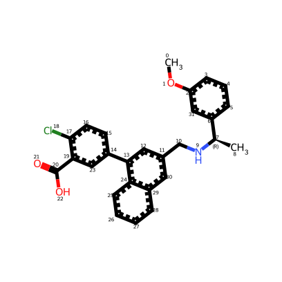 COc1cccc([C@@H](C)NCc2cc(-c3ccc(Cl)c(C(=O)O)c3)c3ccccc3c2)c1